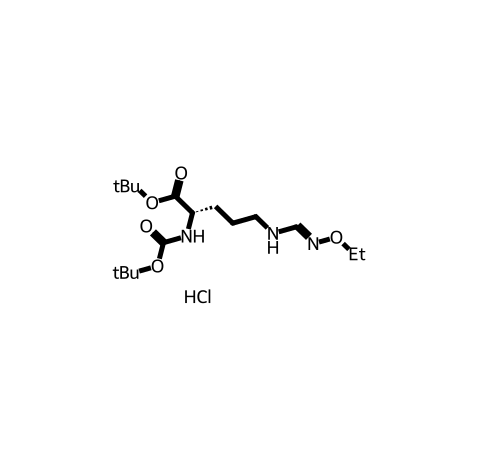 CCO/N=C/NCCC[C@H](NC(=O)OC(C)(C)C)C(=O)OC(C)(C)C.Cl